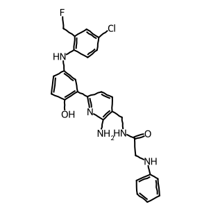 Nc1nc(-c2cc(Nc3ccc(Cl)cc3CF)ccc2O)ccc1CNC(=O)CNc1ccccc1